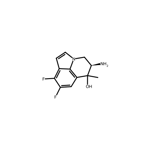 CC1(O)c2cc(F)c(F)c3ccn(c23)C[C@H]1N